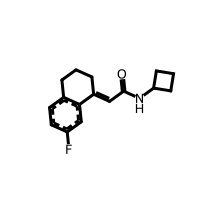 O=C(C=C1CCCc2ccc(F)cc21)NC1CCC1